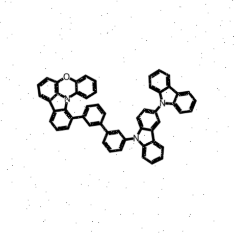 c1cc(-c2cccc(-n3c4ccccc4c4cc(-n5c6ccccc6c6ccccc65)ccc43)c2)cc(-c2cccc3c4cccc5c4n(c23)-c2ccccc2O5)c1